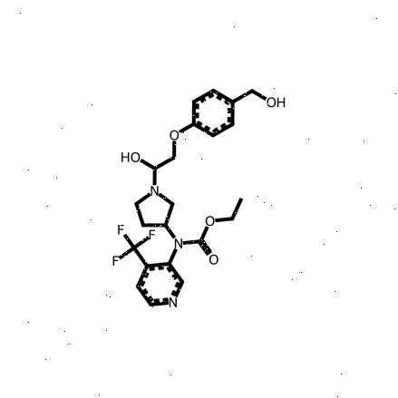 CCOC(=O)N(c1cnccc1C(F)(F)F)C1CCN(C(O)COc2ccc(CO)cc2)C1